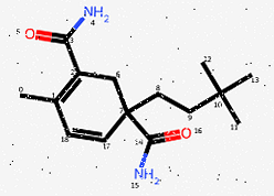 CC1=C(C(N)=O)CC(CCC(C)(C)C)(C(N)=O)C=C1